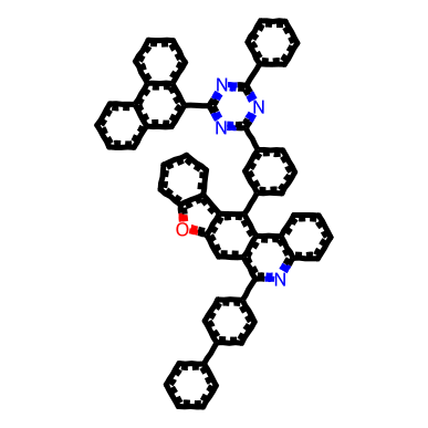 c1ccc(-c2ccc(-c3nc4ccccc4c4c(-c5cccc(-c6nc(-c7ccccc7)nc(-c7cc8ccccc8c8ccccc78)n6)c5)c5c(cc34)oc3ccccc35)cc2)cc1